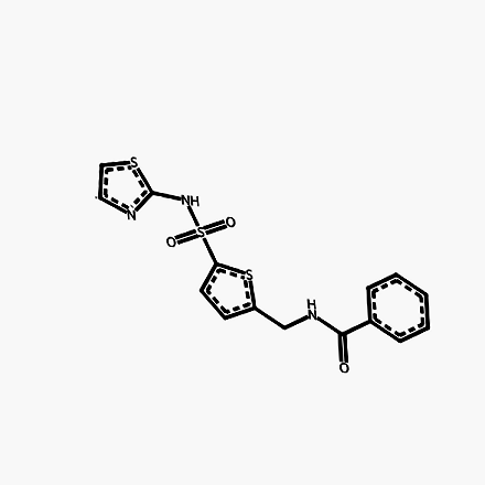 O=C(NCc1ccc(S(=O)(=O)Nc2n[c]cs2)s1)c1ccccc1